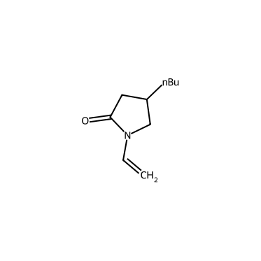 C=CN1CC(CCCC)CC1=O